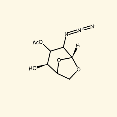 CC(=O)OC1C(N=[N+]=[N-])[C@@H]2OCC(O2)[C@H]1O